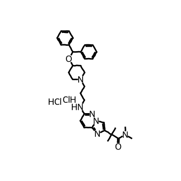 CN(C)C(=O)C(C)(C)c1cn2nc(NCCCN3CCC(OC(c4ccccc4)c4ccccc4)CC3)ccc2n1.Cl.Cl